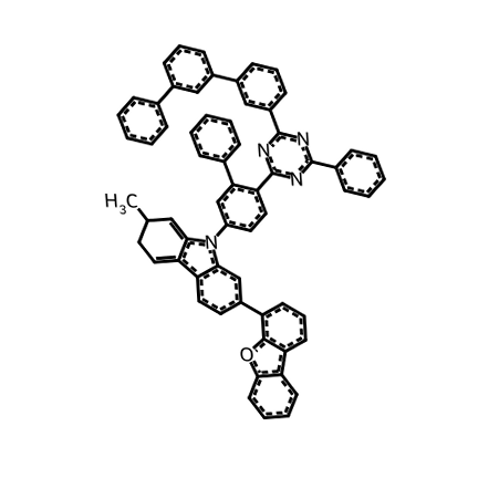 CC1C=c2c(c3ccc(-c4cccc5c4oc4ccccc45)cc3n2-c2ccc(-c3nc(-c4ccccc4)nc(-c4cccc(-c5cccc(-c6ccccc6)c5)c4)n3)c(-c3ccccc3)c2)=CC1